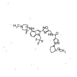 CO[C@@H]1CCCC[C@H]1n1cc(C(=O)NCc2nc(-c3cc4c(N[C@@H]5CCN(C)C[C@@H]5F)cccc4n3CC(F)(F)F)no2)cn1